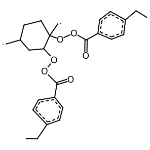 [CH2]C1CCC([CH2])(OOC(=O)c2ccc(CC)cc2)C(OOC(=O)c2ccc(CC)cc2)C1